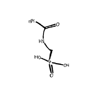 CCCC(=O)NCP(=O)(O)O